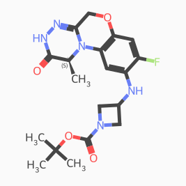 C[C@H]1C(=O)NN=C2COc3cc(F)c(NC4CN(C(=O)OC(C)(C)C)C4)cc3N21